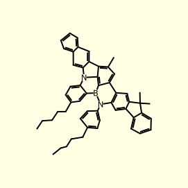 CCCCCc1ccc(N2B3c4cc(CCCCC)ccc4-n4c5cc6ccccc6cc5c5c(C)cc(c3c54)-c3cc4c(cc32)-c2ccccc2C4(C)C)cc1